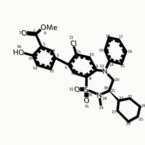 COC(=O)c1cc(-c2cc3c(cc2Cl)N(c2ccccc2)C[C@@H](C2CCCCC2)N(C)S3(=O)=O)ccc1O